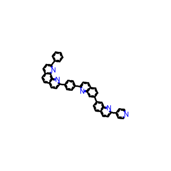 c1ccc(-c2ccc3ccc4ccc(-c5ccc(-c6ccc7ccc(-c8ccc9ccc(-c%10ccncc%10)nc9c8)cc7n6)cc5)nc4c3n2)cc1